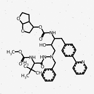 COC(=O)NC(C(=O)NN(Cc1ccccc1)CC(O)C(Cc1ccc(-c2ccccn2)cc1)NC(=O)OC1COC2OCCC12)C(C)(C)C